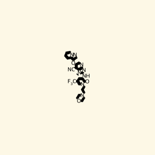 Cn1c(Nc2cc(C(F)(F)F)cn(CCCN3CCOCC3)c2=O)nc2ncc(Oc3cnn4ccccc34)c(C#N)c21